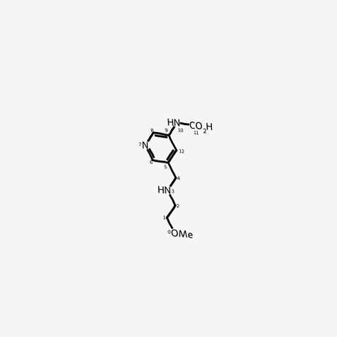 COCCNCc1cncc(NC(=O)O)c1